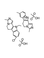 CCn1c2c(c3cc(Cl)ccc31)CCn1c-2cnc1C.CS(=O)(=O)O.CS(=O)(=O)O.Cc1ccc2[nH]c3c(c2c1)CCn1c-3cnc1C